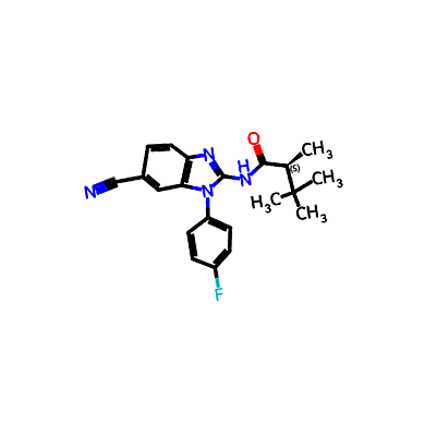 C[C@H](C(=O)Nc1nc2ccc(C#N)cc2n1-c1ccc(F)cc1)C(C)(C)C